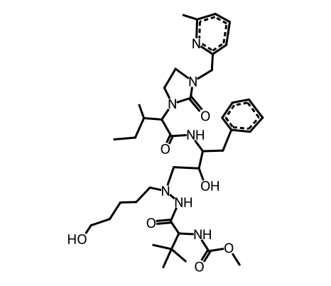 CCC(C)C(C(=O)NC(Cc1ccccc1)C(O)CN(CCCCCO)NC(=O)C(NC(=O)OC)C(C)(C)C)N1CCN(Cc2cccc(C)n2)C1=O